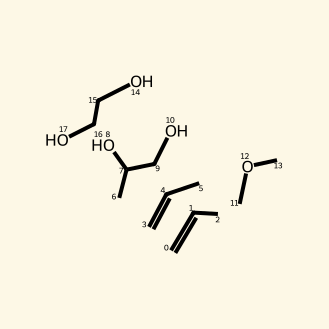 C=CC.C=CC.CC(O)CO.COC.OCCO